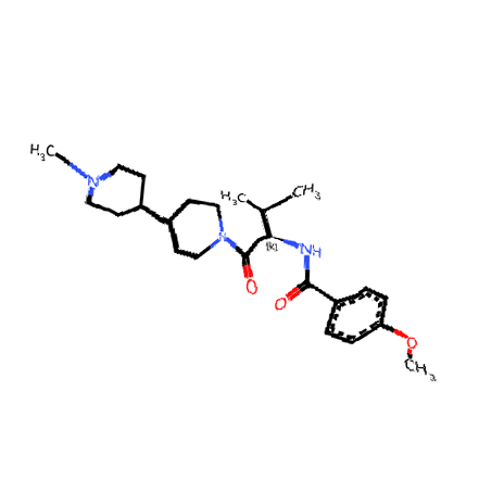 COc1ccc(C(=O)N[C@@H](C(=O)N2CCC(C3CCN(C)CC3)CC2)C(C)C)cc1